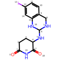 O=C1CCC(NC2NCc3ccc(I)cc3N2)C(=O)N1